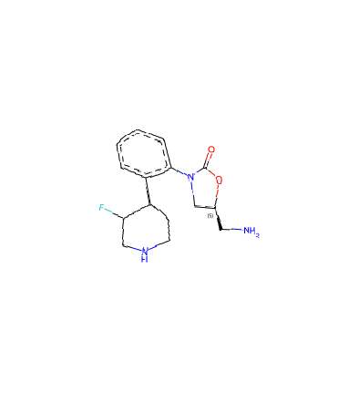 NC[C@H]1CN(c2ccccc2C2CCNCC2F)C(=O)O1